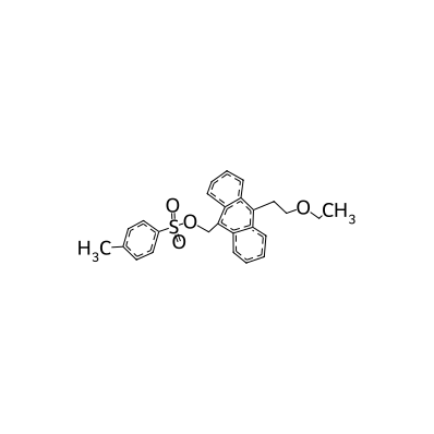 CCOCCc1c2ccccc2c(COS(=O)(=O)c2ccc(C)cc2)c2ccccc12